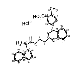 Cc1ccc([C@H]2C[C@H](CCCN[C@H](C)c3cccc4ccccc34)Oc3ccccc32)cc1C(=O)O.Cl